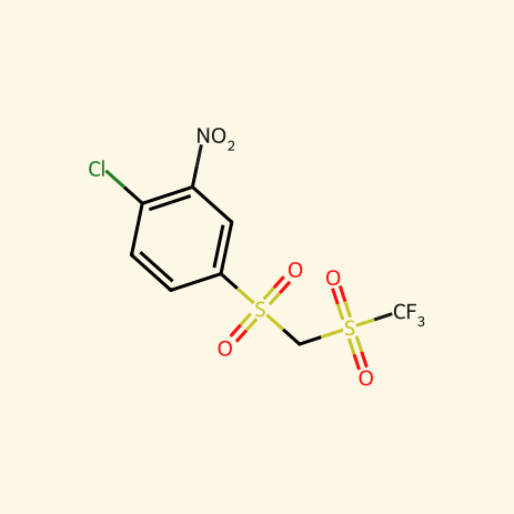 O=[N+]([O-])c1cc(S(=O)(=O)CS(=O)(=O)C(F)(F)F)ccc1Cl